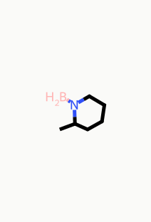 BN1CCCCC1C